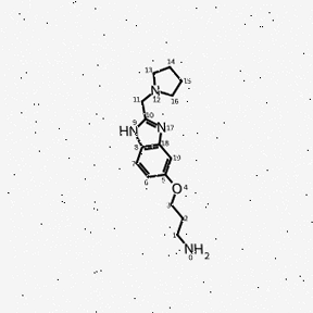 NCCCOc1ccc2[nH]c(CN3CCCC3)nc2c1